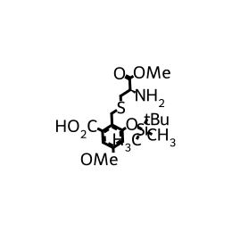 COC(=O)[C@@H](N)CSCc1c(O[Si](C)(C)C(C)(C)C)cc(OC)cc1C(=O)O